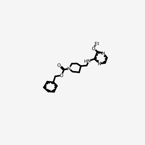 CCOc1nccnc1NCC1CCN(C(=O)OCc2ccccc2)CC1